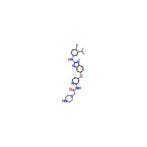 CC(C)c1cc(Nc2nc3cc(Oc4ccnc(NC(=O)CN5CCNCC5)c4)ccc3n2C)ccc1F